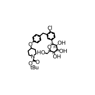 CC(C)(C)OC(=O)N1CCC(Oc2ccc(Cc3cc([C@@H]4O[C@H](CO)[C@@H](O)[C@H](O)[C@H]4O)ccc3Cl)cc2)CC1